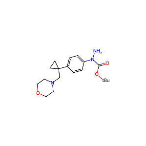 CC(C)(C)OC(=O)N(N)c1ccc(C2(CN3CCOCC3)CC2)cc1